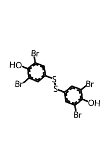 Oc1c(Br)cc(SSc2cc(Br)c(O)c(Br)c2)cc1Br